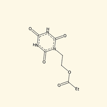 CCC(=O)OCCn1c(=O)[nH]c(=O)[nH]c1=O